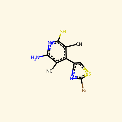 N#Cc1c(N)nc(S)c(C#N)c1-c1csc(Br)n1